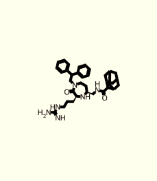 N=C(N)NCCC[C@@H]1N[C@H](CNC(=O)C2C3CC4CC(C3)CC2C4)CCN(CC(c2ccccc2)c2ccccc2)C1=O